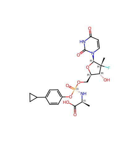 C[C@H](N[P@](=O)(OC[C@H]1O[C@@H](n2ccc(=O)[nH]c2=O)[C@](C)(F)[C@@H]1O)Oc1ccc(C2CC2)cc1)C(=O)O